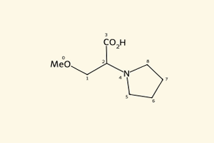 COCC(C(=O)O)N1CCCC1